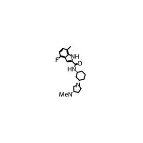 CN[C@H]1CCN([C@H]2CCC[C@@H](NC(=O)c3cc4c(F)ccc(C)c4[nH]3)C2)C1